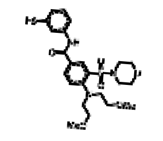 COCCN(CCOC)c1ccc(C(=O)Nc2cccc(S)c2)cc1S(=O)(=O)N1CCOCC1